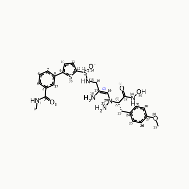 CNC(=O)c1cccc(-c2ccc([S+]([O-])NC/C(N)=C/N(N)[C@@H](Cc3ccc(OC)cc3)C(=O)NO)s2)c1